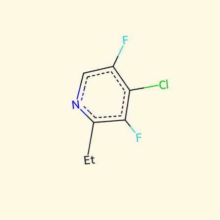 CCc1ncc(F)c(Cl)c1F